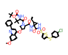 C=CC1CC1(NC(=O)C1CC(Oc2cc(-c3ccccc3)nc3cc(OC)ccc23)CN1C(=O)C(NC(=O)OC(C)(C)C)C(C)(C)C)C(=O)NS(=O)(=O)c1ccc(Sc2ccc(Cl)cc2)s1